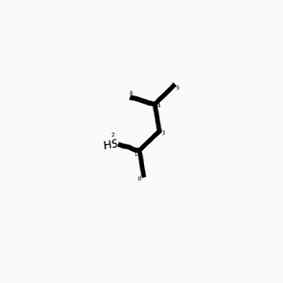 C[C](S)CC(C)C